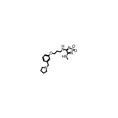 CNC1=NS(=O)(=O)N=C1NCCCOc1cccc(CN2CCCC2)c1